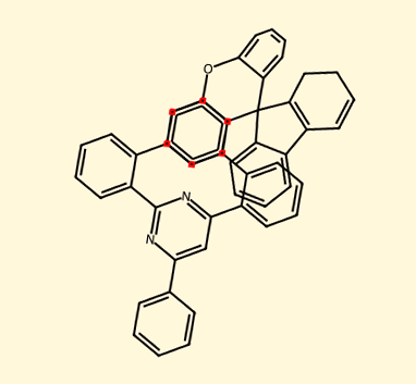 C1=CC2=C(CC1)C1(c3ccccc3Oc3cc(-c4ccccc4-c4nc(-c5ccccc5)cc(-c5ccccc5-c5ccccc5)n4)ccc31)c1ccccc12